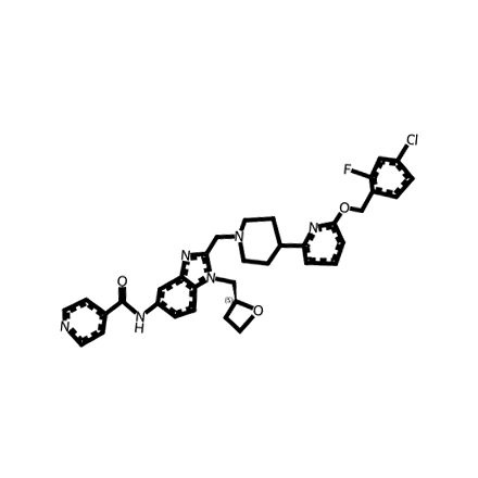 O=C(Nc1ccc2c(c1)nc(CN1CCC(c3cccc(OCc4ccc(Cl)cc4F)n3)CC1)n2C[C@@H]1CCO1)c1ccncc1